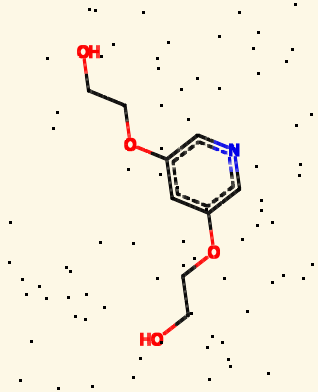 OCCOc1cncc(OCCO)c1